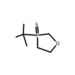 CC(C)(C)P1(=S)CCOC1